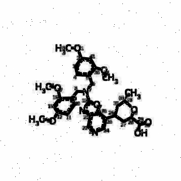 COc1ccc(CN(Cc2ccc(OC)cc2OC)c2nc3cncc(C4CC(C(=O)O)O[C@@H](C)C4)c3o2)c(OC)c1